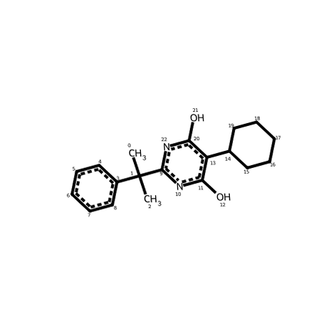 CC(C)(c1ccccc1)c1nc(O)c(C2CCCCC2)c(O)n1